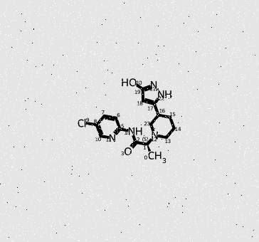 C[C@@H](C(=O)Nc1ccc(Cl)cn1)N1CCCC(c2cc(O)n[nH]2)C1